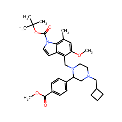 COC(=O)c1ccc(C2CN(CC3CCC3)CCN2Cc2c(OC)cc(C)c3c2ccn3C(=O)OC(C)(C)C)cc1